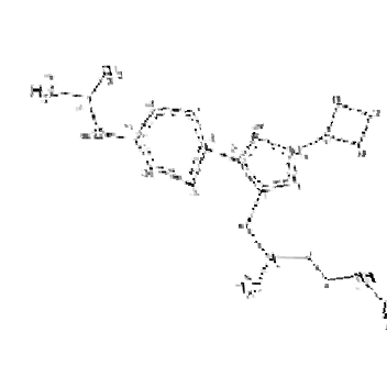 CNCCN(C)Cc1cn(C2CCC2)nc1-c1ccc(OC(C)C)cc1